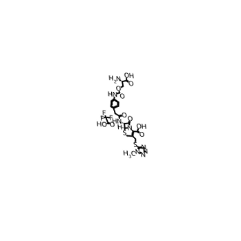 Cn1nnnc1SCC1=C(C(=O)O)N2C(=O)[C@@H](NC(=O)Cc3ccc(NC(=O)OC[C@H](N)C(=O)O)cc3)[C@@H]2SC1.O=C(O)C(F)(F)F